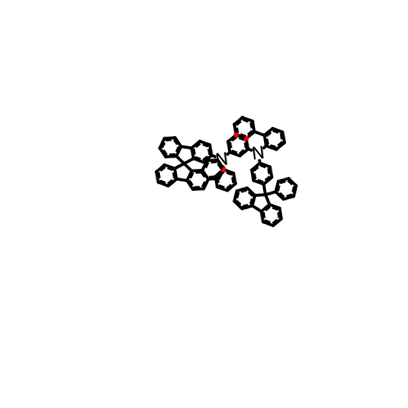 c1ccc(-c2ccccc2N(c2ccc(C3(c4ccccc4)c4ccccc4-c4ccccc43)cc2)c2cccc(N(c3ccccc3)c3ccc4c(c3)C3(c5ccccc5-4)c4ccccc4-c4ccc5ccccc5c43)c2)cc1